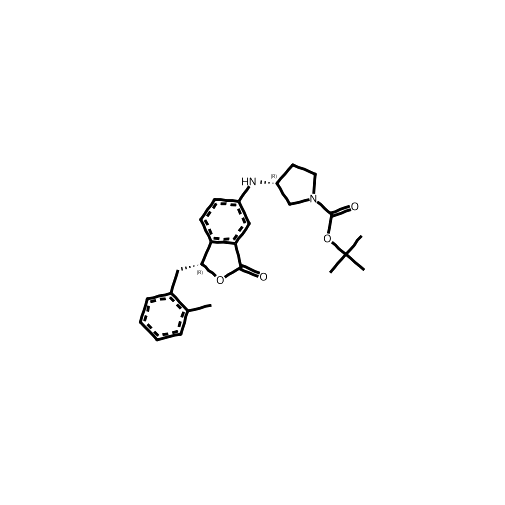 Cc1ccccc1C[C@H]1OC(=O)c2cc(N[C@@H]3CCN(C(=O)OC(C)(C)C)C3)ccc21